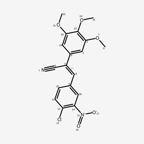 COc1cc(/C(C#N)=C/c2ccc(Cl)c([N+](=O)[O-])c2)cc(OC)c1OC